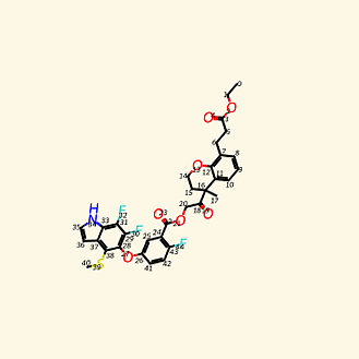 CCOC(=O)CCc1cccc2c1OCCC2(C)C(=O)COC(=O)c1cc(Oc2c(F)c(F)c3[nH]ccc3c2SC)ccc1F